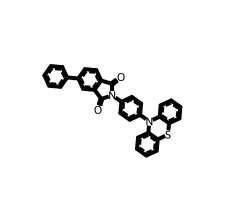 O=C1c2ccc(-c3ccccc3)cc2C(=O)N1c1ccc(N2c3ccccc3Sc3ccccc32)cc1